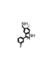 NCc1ccc2[nH]nc(-c3cccc(F)c3)c2c1